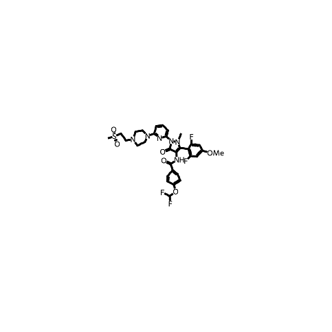 COc1cc(F)c(-c2c(NC(=O)c3ccc(OC(F)F)cc3)c(=O)n(-c3cccc(N4CCN(CCS(C)(=O)=O)CC4)n3)n2C)c(F)c1